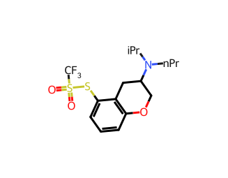 CCCN(C(C)C)C1COc2cccc(SS(=O)(=O)C(F)(F)F)c2C1